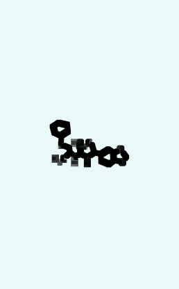 CC(CSc1ccccc1)NC(=O)NC(CC(=O)O)c1ccc2c(c1)OCO2